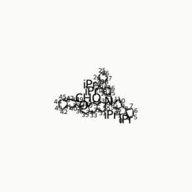 CC(C)C1(C(C)C)c2ccccc2-c2ccc(N(c3ccc4c(c3)C(C(C)C)(C(C)C)c3ccccc3-4)c3ccc4cc(/C=C\C(=O)c5cc6ccccc6cc5C=O)ccc4c3)cc21